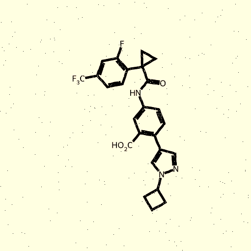 O=C(O)c1cc(NC(=O)C2(c3ccc(C(F)(F)F)cc3F)CC2)ccc1-c1cnn(C2CCC2)c1